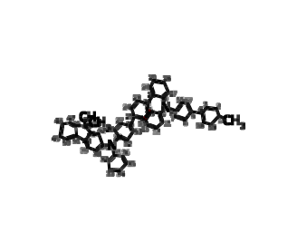 CC1C=CC(c2ccc(N(c3ccccc3)c3ccccc3-c3ccc(-c4ccc(N(c5ccccc5)c5ccc6c(c5)C(C)(C)c5ccccc5-6)cc4)cc3)cc2)=CC1